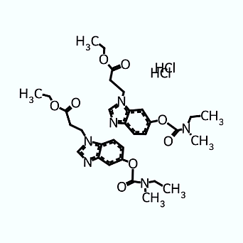 CCOC(=O)CCn1cnc2cc(OC(=O)N(C)CC)ccc21.CCOC(=O)CCn1cnc2ccc(OC(=O)N(C)CC)cc21.Cl.Cl